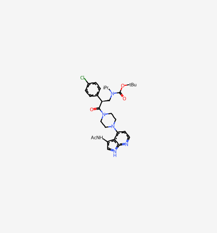 CC(=O)Nc1c[nH]c2nccc(N3CCN(C(=O)[C@H](CN(C(=O)OC(C)(C)C)C(C)C)c4ccc(Cl)cc4)CC3)c12